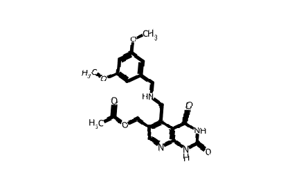 COc1cc(CNCc2c(COC(C)=O)cnc3[nH]c(=O)[nH]c(=O)c23)cc(OC)c1